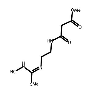 COC(=O)CC(=O)NCCN=C(NC#N)SC